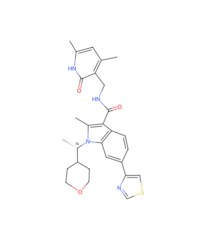 Cc1cc(C)c(CNC(=O)c2c(C)n([C@@H](C)C3CCOCC3)c3cc(-c4cscn4)ccc23)c(=O)[nH]1